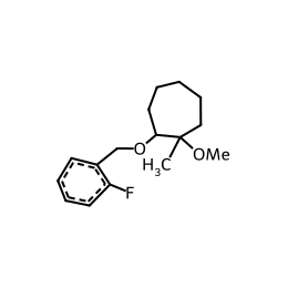 COC1(C)CCCCCC1OCc1ccccc1F